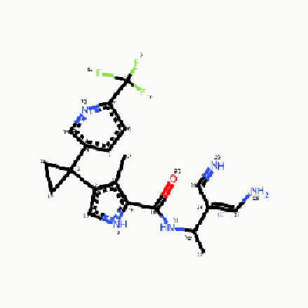 Cc1c(C2(c3ccc(C(F)(F)F)nc3)CC2)c[nH]c1C(=O)NC(C)/C(C=N)=C/N